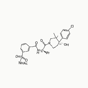 CC(=O)NS(=O)(=O)c1cccc(C(=O)N[C@@H](C(=O)N2CC[C@](O)(c3ccc(Cl)cc3)C(C)(C)C2)C(C)C)c1